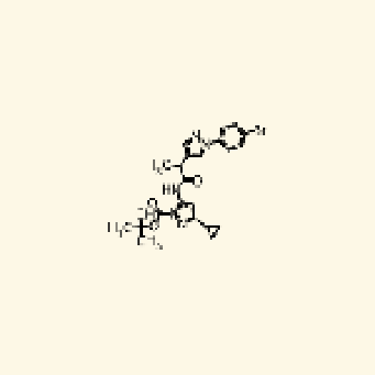 CC(C(=O)Nc1cc(C2CC2)nn1C(=O)OC(C)(C)C)c1cnn(-c2ccc(Br)cc2)c1